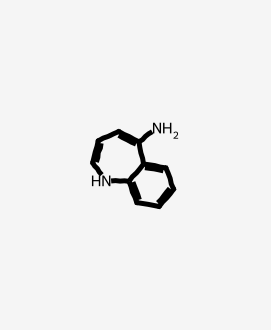 NC1=CC=CNc2ccccc21